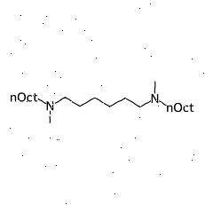 CCCCCCCCN(C)CCCCCCN(C)CCCCCCCC